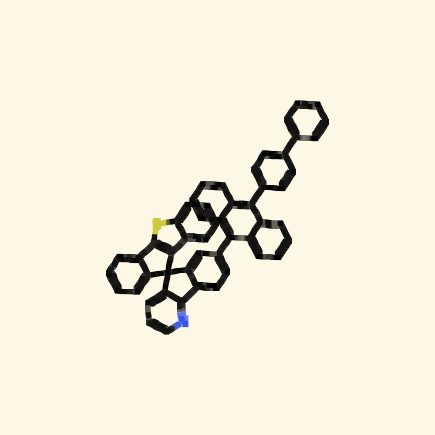 c1ccc(-c2ccc(-c3c4ccccc4c(-c4ccc5c(c4)C4(c6ccccc6-c6sc7ccccc7c64)c4cccnc4-5)c4ccccc34)cc2)cc1